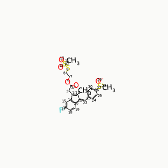 CC1=C(CC(=O)OCCSS(C)(=O)=O)c2cc(F)ccc2C1=Cc1ccc([S+](C)[O-])cc1